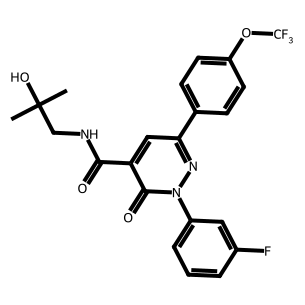 CC(C)(O)CNC(=O)c1cc(-c2ccc(OC(F)(F)F)cc2)nn(-c2cccc(F)c2)c1=O